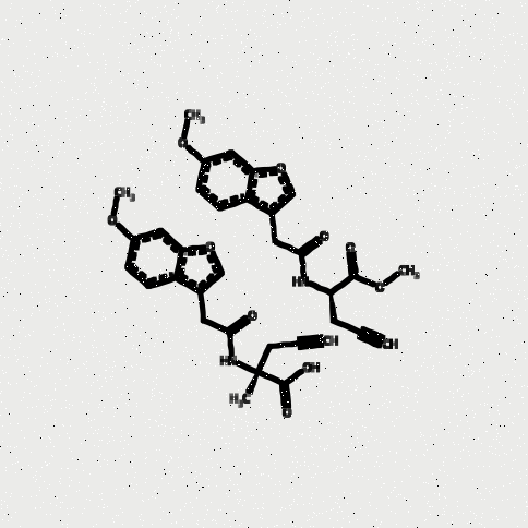 C#CC[C@@H](NC(=O)Cc1coc2cc(OC)ccc12)C(=O)OC.C#CC[C@@](C)(NC(=O)Cc1coc2cc(OC)ccc12)C(=O)O